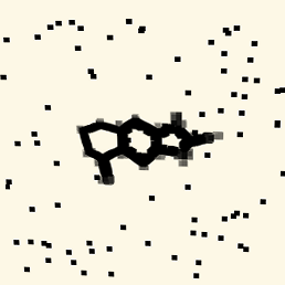 O=C1[C]CCc2cc3[nH]c(=O)[nH]c3cc21